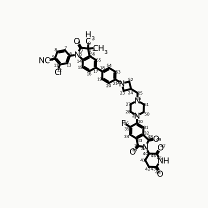 CC1(C)C(=O)N(c2ccc(C#N)c(Cl)c2)c2ccc(-c3ccc(N4CC(CN5CCN(c6cc7c(cc6F)C(=O)N(C6CCC(=O)NC6=O)C7=O)CC5)C4)cc3)cc21